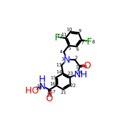 O=C1CN(Cc2cc(F)ccc2F)Cc2cc(C(=O)NO)ccc2N1